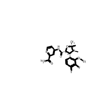 CCOc1c([C@@H]2[C@H](C(=O)Nc3ccnc(C(N)=O)c3)O[C@](C)(C(F)(F)F)[C@H]2C)ccc(F)c1F